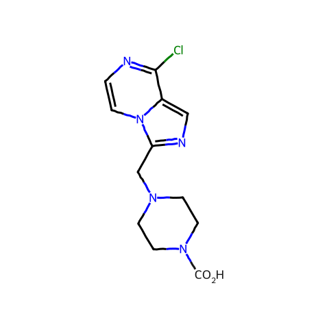 O=C(O)N1CCN(Cc2ncc3c(Cl)nccn23)CC1